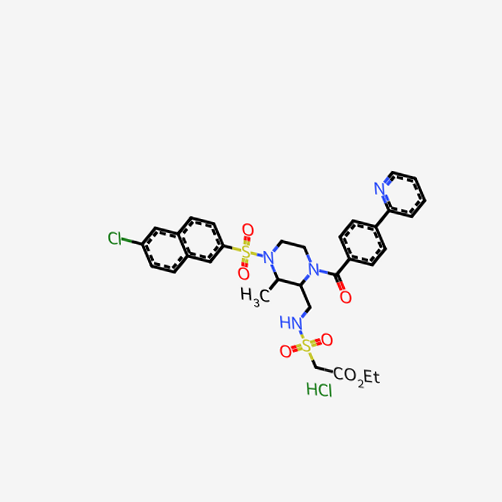 CCOC(=O)CS(=O)(=O)NCC1C(C)N(S(=O)(=O)c2ccc3cc(Cl)ccc3c2)CCN1C(=O)c1ccc(-c2ccccn2)cc1.Cl